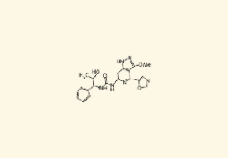 COc1n[nH]c2cc(NC(=O)N[C@@H](c3ccccc3)C(C)O)nc(-c3cnco3)c12